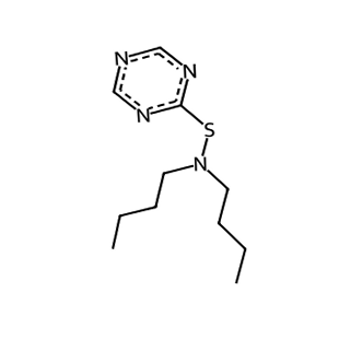 CCCCN(CCCC)Sc1ncncn1